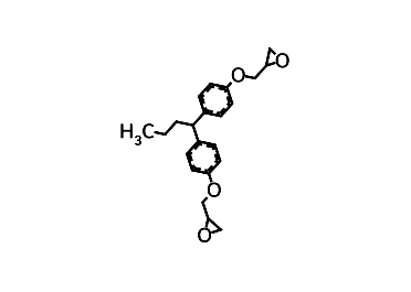 CCCC(c1ccc(OCC2CO2)cc1)c1ccc(OCC2CO2)cc1